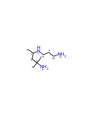 CC(CC(C)(C)N)NCCCN